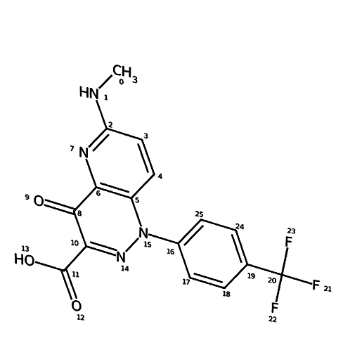 CNc1ccc2c(n1)c(=O)c(C(=O)O)nn2-c1ccc(C(F)(F)F)cc1